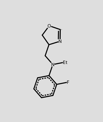 CCN(CC1CO[C]=N1)c1ccccc1F